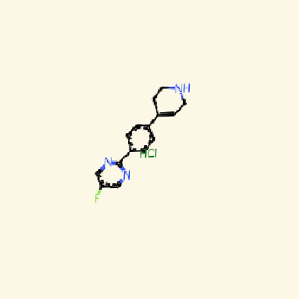 Cl.Fc1cnc(-c2ccc(C3=CCNCC3)cc2)nc1